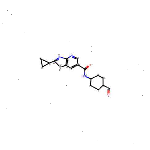 O=CC1CCC(NC(=O)c2cnc3c(c2)BC(C2CC2)=N3)CC1